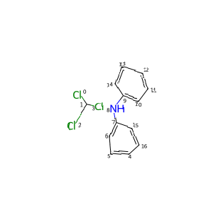 ClC(Cl)Cl.c1ccc(Nc2ccccc2)cc1